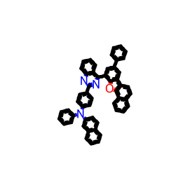 c1ccc(-c2cc(-c3nc(-c4ccc(N(c5ccccc5)c5ccc6ccccc6c5)cc4)nc4ccccc34)c3oc4c5ccccc5ccc4c3c2)cc1